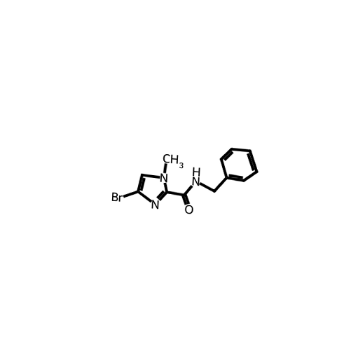 Cn1cc(Br)nc1C(=O)NCc1ccccc1